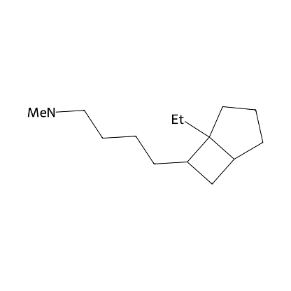 CCC12CCCC1CC2CCCCNC